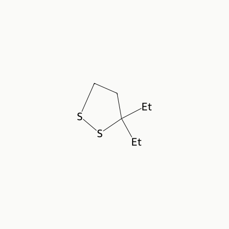 CCC1(CC)CCSS1